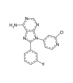 Nc1ncnc2c1nc(-c1cccc(F)c1)n2-c1ccnc(Cl)c1